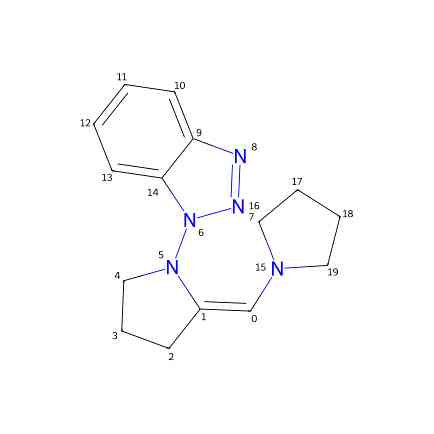 C(=C1\CCCN1n1nnc2ccccc21)/N1CCCC1